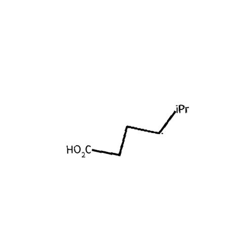 CC(C)[CH]CCC(=O)O